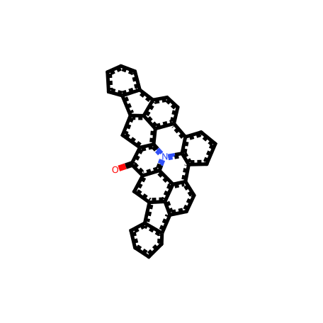 O=c1c2cc3c4ccccc4c4ccc5c6cccc7c8ccc9c%10ccccc%10c%10cc1c(c8c9%10)n(c67)c2c5c43